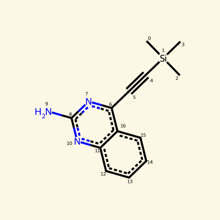 C[Si](C)(C)C#Cc1nc(N)nc2ccccc12